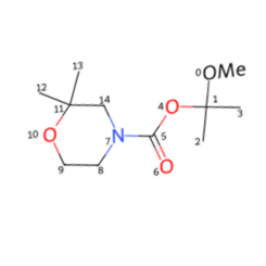 COC(C)(C)OC(=O)N1CCOC(C)(C)C1